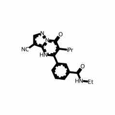 CCNC(=O)c1cccc(-c2[nH]c3c(C#N)cnn3c(=O)c2C(C)C)c1